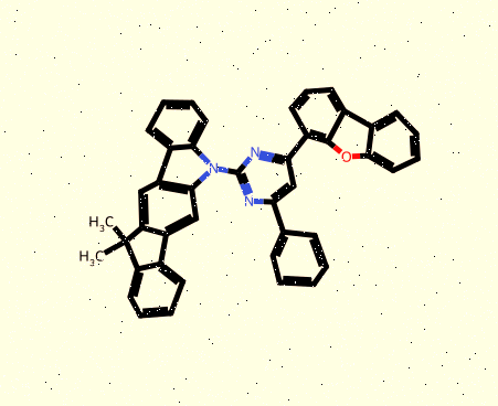 CC1(C)c2ccccc2-c2cc3c(cc21)c1ccccc1n3-c1nc(-c2ccccc2)cc(-c2cccc3c2oc2ccccc23)n1